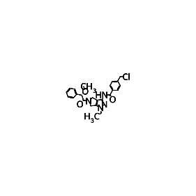 CCn1nc(NC(=O)c2ccc(CCl)cc2)c2c1CN(C(=O)[C@@H](OC)c1ccccc1)C2